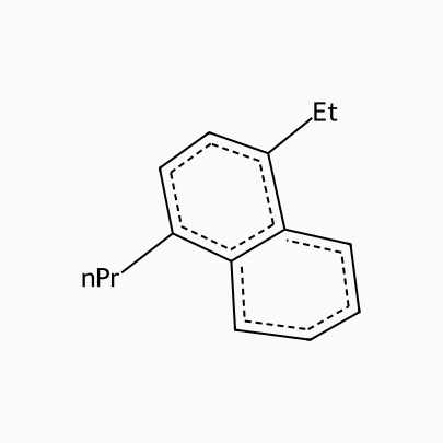 [CH2]Cc1ccc(CCC)c2ccccc12